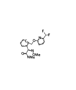 CNC(=O)C(=NOC)c1ccccc1COc1cccc(C(F)F)n1